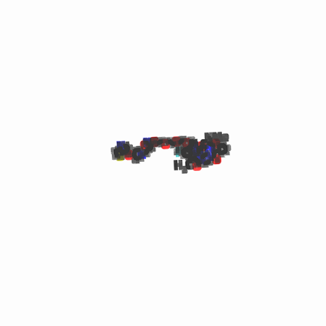 CN[C@@H](C)C(=O)N[C@H](C(=O)N1CCN(C(=O)c2c(C)c3cc(F)ccc3n2CC(=O)N(C)CCOCCOCCOCCOc2cc(CN3CCC(Oc4ccnc5ccsc45)CC3)on2)CC1)C1CCCCC1